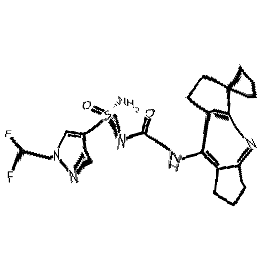 N[S@](=O)(=NC(=O)Nc1c2c(nc3c1CCC31CC1)CCC2)c1cnn(C(F)F)c1